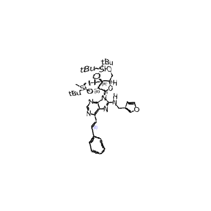 CC(C)(C)[Si](C)(C)O[C@@H]1[C@@H]2O[Si](C(C)(C)C)(C(C)(C)C)OC[C@H]2O[C@H]1n1c(NCc2ccoc2)nc2c(/C=C/c3ccccc3)ncnc21